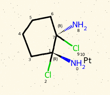 N[C@@]1(Cl)CCCC[C@@]1(N)Cl.[Pt]